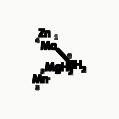 [BH2][Mo].[MgH2].[Mn].[Zn]